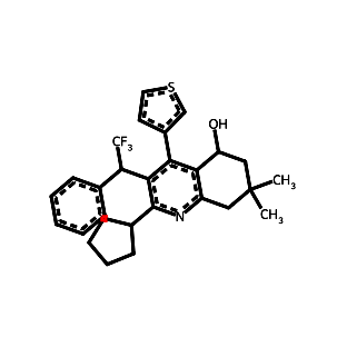 CC1(C)Cc2nc(C3CCCC3)c(C(c3ccccc3)C(F)(F)F)c(-c3ccsc3)c2C(O)C1